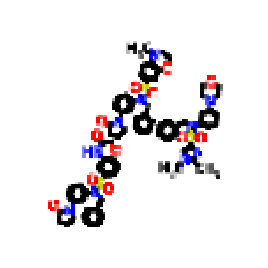 CN1CCOc2cc(S(=O)(=O)N(Cc3ccccc3)c3cccc(N4CCCC4=O)c3)ccc21.Cc1nc(S(=O)(=O)N(Cc2ccccc2)c2cccc(N3CCOCC3)c2)cn1C.O=C1COc2ccc(S(=O)(=O)N(Cc3ccccc3)c3cccc(N4CCCC4=O)c3)cc2N1